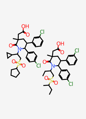 CC1(CC(=O)O)CC(c2cccc(Cl)c2)C(c2ccc(Cl)cc2)N(C(CS(=O)(=O)C2CCCC2)C2CC2)C1=O.CCC(CS(=O)(=O)C(C)CC)N1C(=O)C(C)(CC(=O)O)CC(c2cccc(Cl)c2)C1c1ccc(Cl)cc1